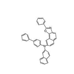 c1ccc(-c2ccc(N(c3ccc4ccccc4c3)c3ccc4ccc5nc(-c6ccccc6)oc5c4c3)cc2)cc1